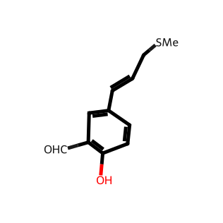 CSC/C=C/c1ccc(O)c(C=O)c1